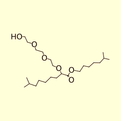 CC(C)CCCCCOC(=O)C(CCCCCC(C)C)OCCOCCOCCO